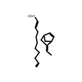 C/C=C1/CC2C=CC1C2.C=CCCCCCC/C=C/CCCCCCCC